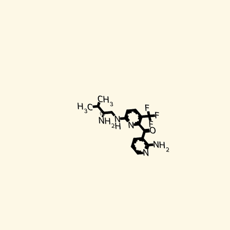 CC(C)[C@H](N)CNc1ccc(C(F)(F)F)c(C(=O)c2cccnc2N)n1